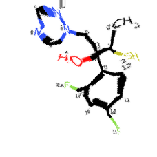 CC(S)C(O)(Cn1cncn1)c1ccc(F)cc1F